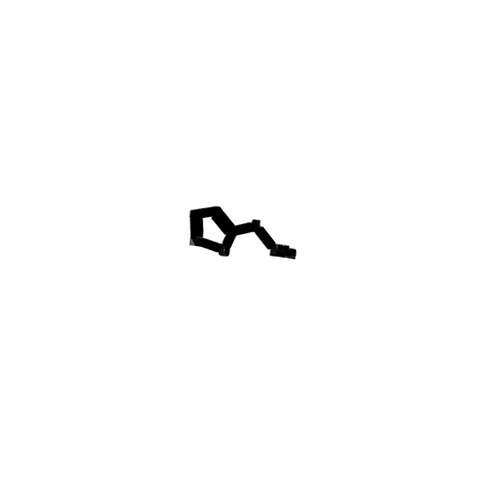 CSSc1ccno1